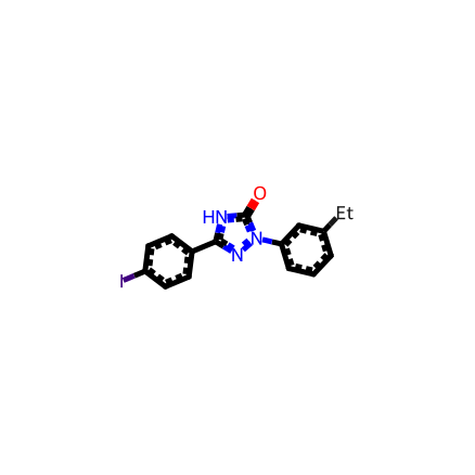 CCc1cccc(-n2nc(-c3ccc(I)cc3)[nH]c2=O)c1